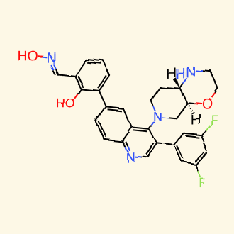 O/N=C/c1cccc(-c2ccc3ncc(-c4cc(F)cc(F)c4)c(N4CC[C@@H]5NCCO[C@H]5C4)c3c2)c1O